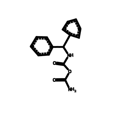 NC(=O)OC(=O)NC(c1ccccc1)c1ccccc1